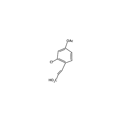 CC(=O)Oc1ccc(/C=C/C(=O)O)c(Cl)c1